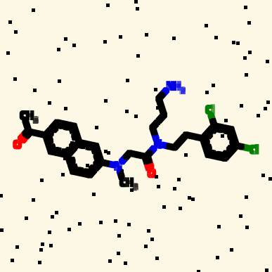 CC(=O)c1ccc2cc(N(C)CC(=O)N(CCCN)CCc3ccc(Cl)cc3Cl)ccc2c1